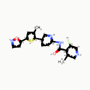 Cc1cc(-c2ccno2)sc1-c1ccc(NC(=O)c2c(C)cncc2F)nc1